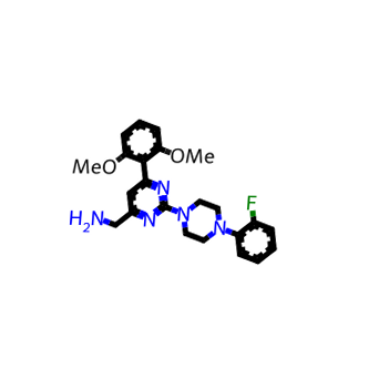 COc1cccc(OC)c1-c1cc(CN)nc(N2CCN(c3ccccc3F)CC2)n1